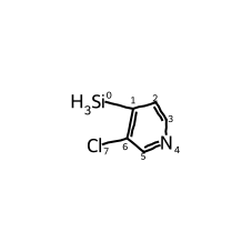 [SiH3]c1ccncc1Cl